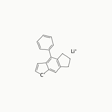 [Li+].c1ccc(-c2c3c(cc4[cH-]ccc24)CCC3)cc1